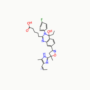 C/C=C\c1nc(C2(C)CC(c3ccc4c(c3)N=C(CCCCC(=O)O)N(c3ccc(F)cc3)C4(O)CC)=NO2)[nH]c1C